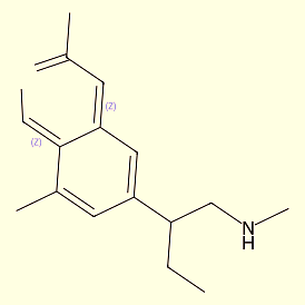 C=C(C)/C=c1/cc(C(CC)CNC)cc(C)/c1=C/C